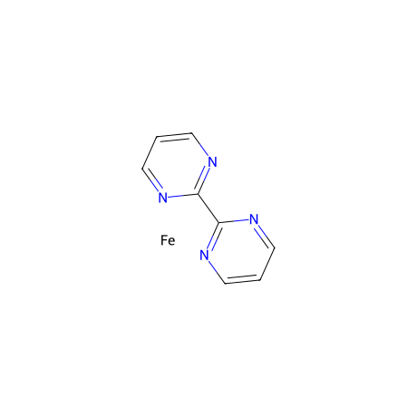 [Fe].c1cnc(-c2ncccn2)nc1